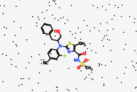 Cc1sc(N(c2ccc(C#N)cc2F)C(CO)Cc2ccccc2)nc1C(=O)NS(C)(=O)=O